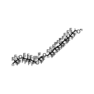 COCC(F)(F)C(F)(F)C(F)(F)C(F)(F)C(F)(F)C(F)(F)C(F)(F)C(F)(F)C(F)(F)C(F)(F)COC(F)(F)C(F)(F)OC(F)(F)C(F)(F)C(F)(F)C(F)(F)OC(F)(F)C(C)(F)F